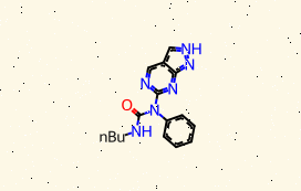 CCCCNC(=O)N(c1ccccc1)c1ncc2c[nH]nc2n1